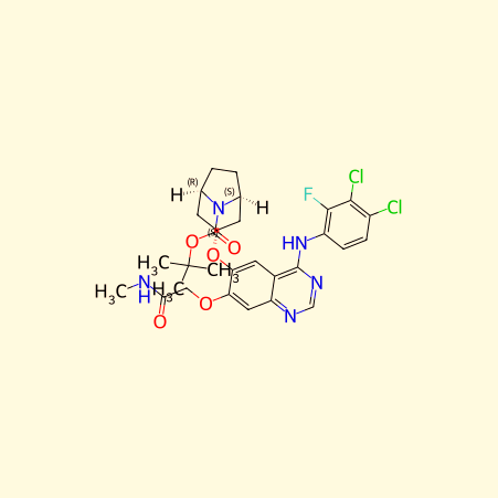 CNC(=O)COc1cc2ncnc(Nc3ccc(Cl)c(Cl)c3F)c2cc1O[C@@H]1C[C@H]2CC[C@@H](C1)N2C(=O)OC(C)(C)C